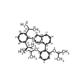 CC(C)Oc1cccc(OC(C)C)c1-c1cccc2c[n+](-c3c(C(C)C)cccc3C(C)C)cn12